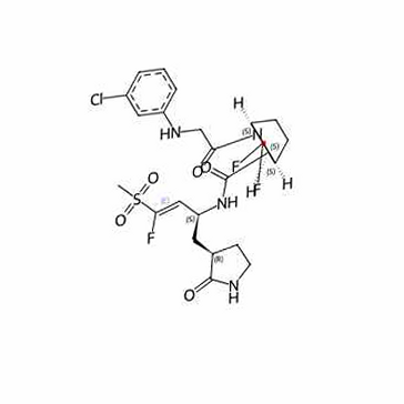 CS(=O)(=O)/C(F)=C/[C@H](C[C@H]1CCNC1=O)NC(=O)[C@@H]1[C@@H]2CC[C@@H](CC2(F)F)N1C(=O)CNc1cccc(Cl)c1